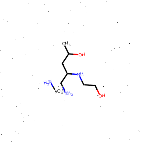 CC(O)CC(CN)NCCO.NS(=O)(=O)O